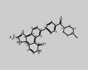 CN1CCN(C(=O)c2ccc(-c3ccc4c(c3)c3c(=O)[nH]ccc3c3[nH]c(C(F)(F)F)nc43)cc2)CC1